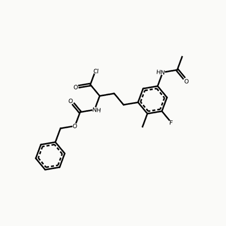 CC(=O)Nc1cc(F)c(C)c(CCC(NC(=O)OCc2ccccc2)C(=O)Cl)c1